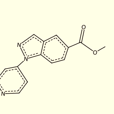 COC(=O)c1ccc2c(cnn2-c2ccncc2)c1